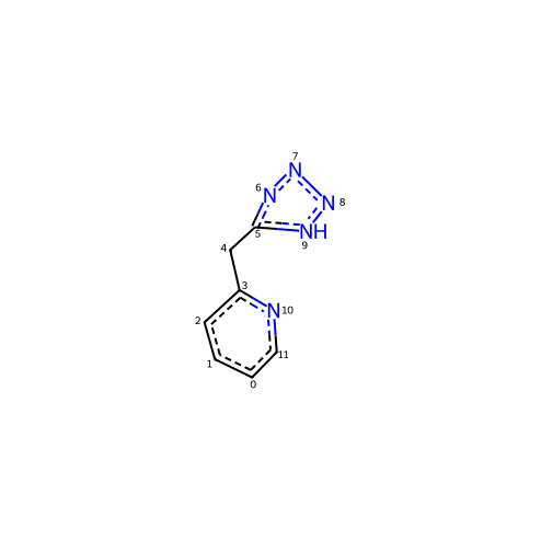 c1ccc(Cc2nnn[nH]2)nc1